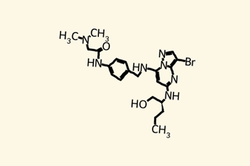 CCC[C@@H](CO)Nc1cc(NCc2ccc(NC(=O)CN(C)C)cc2)n2ncc(Br)c2n1